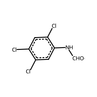 O=[C]Nc1cc(Cl)c(Cl)cc1Cl